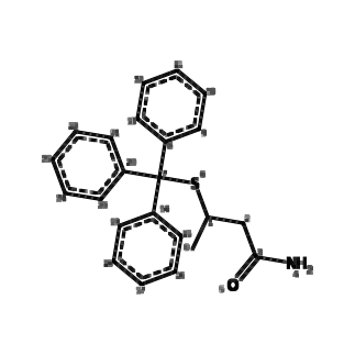 CC(CC(N)=O)SC(c1ccccc1)(c1ccccc1)c1ccccc1